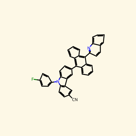 N#Cc1ccc2c(c1)c1cc(-c3c4ccccc4c(-c4ccc5ccccc5n4)c4ccccc34)ccc1n2-c1ccc(F)cc1